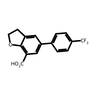 O=C(O)c1cc(-c2ccc(C(F)(F)F)cc2)cc2c1OCC2